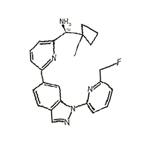 CC1([C@H](N)c2cccc(-c3ccc4cnn(-c5cccc(CF)n5)c4c3)n2)CCC1